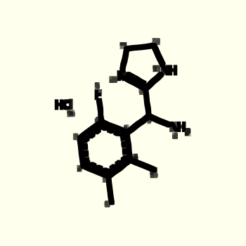 Cc1ccc(F)c(C(N)C2=NCCN2)c1C.Cl